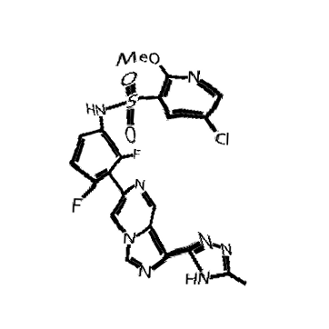 COc1ncc(Cl)cc1S(=O)(=O)Nc1ccc(F)c(-c2cn3cnc(-c4nnc(C)[nH]4)c3cn2)c1F